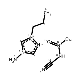 CCC[n+]1cn(N)cn1.N#CN[N+](=O)[O-]